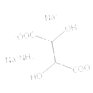 N.O=C([O-])C(O)C(O)C(=O)[O-].[Na+].[Na+]